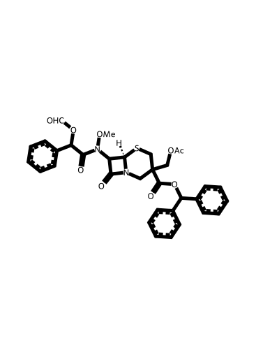 CON(C(=O)C(OC=O)c1ccccc1)C1C(=O)N2CC(COC(C)=O)(C(=O)OC(c3ccccc3)c3ccccc3)CS[C@H]12